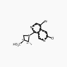 CC(C)c1cnc(N2C[C@H](C(=O)O)[C@H]2C)c2cnc(Cl)cc12